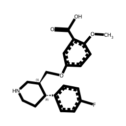 COc1ccc(OC[C@@H]2CNCC[C@H]2c2ccc(F)cc2)cc1C(=O)O